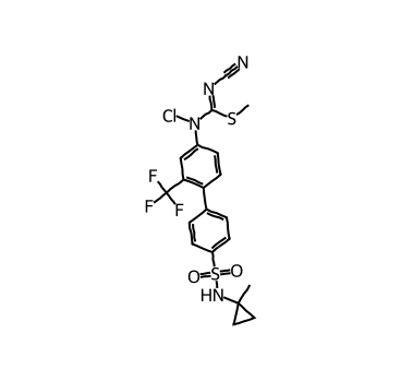 CSC(=NC#N)N(Cl)c1ccc(-c2ccc(S(=O)(=O)NC3(C)CC3)cc2)c(C(F)(F)F)c1